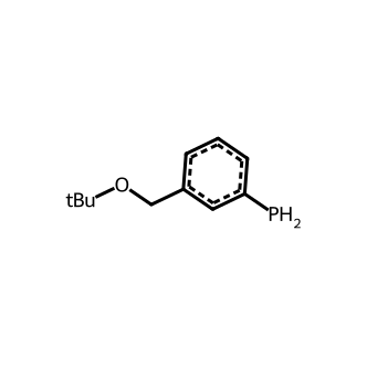 CC(C)(C)OCc1cccc(P)c1